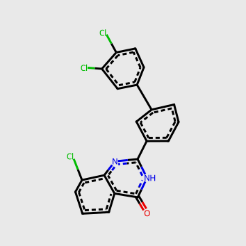 O=c1[nH]c(-c2cccc(-c3ccc(Cl)c(Cl)c3)c2)nc2c(Cl)cccc12